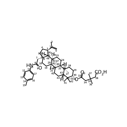 C=C(C)[C@@H]1CC[C@]2(CC(=O)Nc3ccc(C)cc3)CC[C@]3(C)[C@H](CC[C@@H]4[C@@]5(C)CC[C@H](OC(=O)CC(C)(C)CC(=O)O)C(C)(C)[C@@H]5CC[C@]43C)[C@@H]12